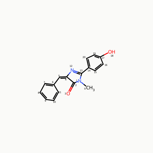 CN1C(=O)/C(=C\c2ccccc2)N=C1c1ccc(O)cc1